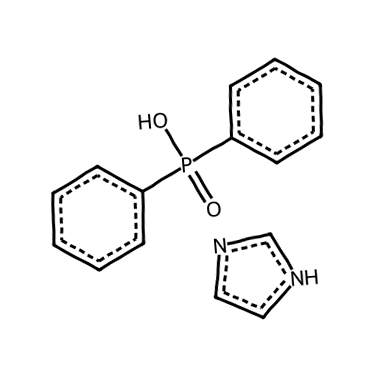 O=P(O)(c1ccccc1)c1ccccc1.c1c[nH]cn1